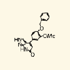 COc1cc(-c2cc(=O)[nH]c3n[nH]cc23)ccc1OCc1ccccc1